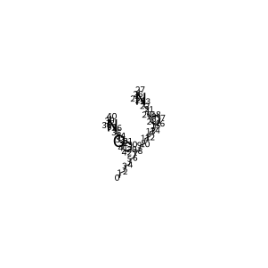 CCCCCCCC(CCCCCCCc1cccc(CCCCN2CC2C)c1)c1ccc(OCCCN2CC2C)cc1